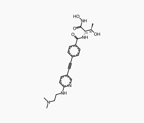 C[C@@H](O)[C@H](NC(=O)c1ccc(C#Cc2ccc(NCCN(C)C)nc2)cc1)C(=O)NO